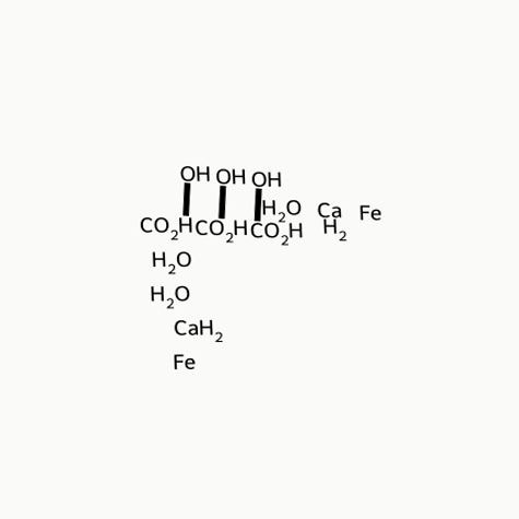 O.O.O.O=C(O)O.O=C(O)O.O=C(O)O.[CaH2].[CaH2].[Fe].[Fe]